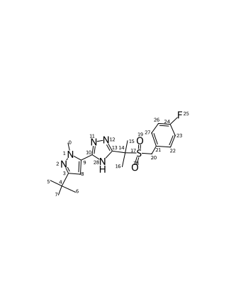 Cn1nc(C(C)(C)C)cc1-c1nnc(C(C)(C)S(=O)(=O)Cc2ccc(F)cc2)[nH]1